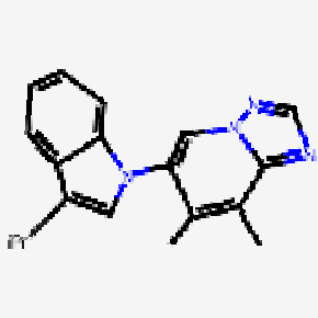 Cc1c(-n2cc(C(C)C)c3ccccc32)cn2ncnc2c1C